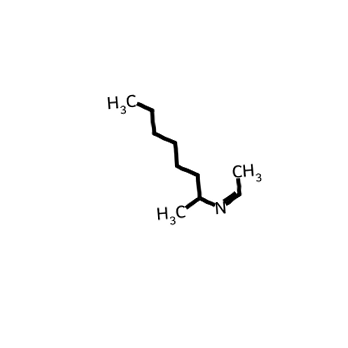 C/C=N\C(C)CCCCCC